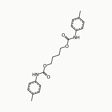 Cc1ccc(NC(=O)OCCCCOC(=O)Nc2ccc(C)cc2)cc1